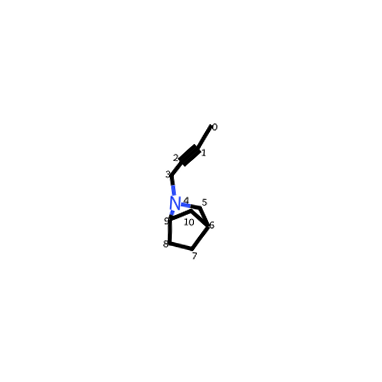 CC#CCN1CC2CCC1C2